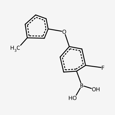 Cc1cccc(Oc2ccc(B(O)O)c(F)c2)c1